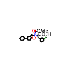 COC(=O)N(c1cc2cc(-c3ccccc3)ccc2o1)[C@H](Cc1cccc(F)c1)C(=O)O